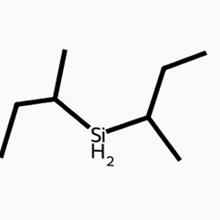 CCC(C)[SiH2]C(C)CC